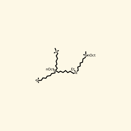 CCCCCCCC[Si](C)(C)CCCCCCC[Si](C)(CC)CCCCCCC[Si](CCCCCCCC)(CCCCCCC[Si](C)(C)C)CCCCCCC[Si](C)(C)C